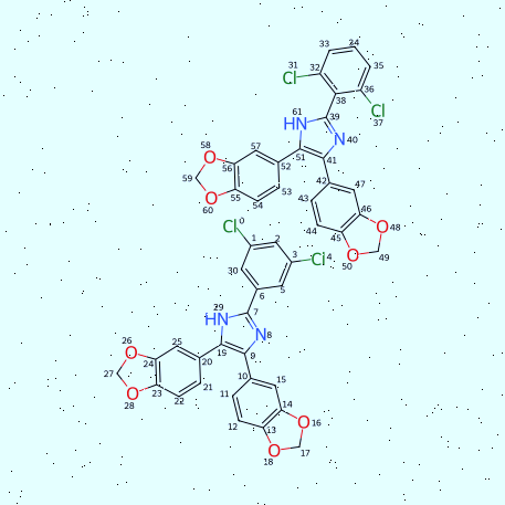 Clc1cc(Cl)cc(-c2nc(-c3ccc4c(c3)OCO4)c(-c3ccc4c(c3)OCO4)[nH]2)c1.Clc1cccc(Cl)c1-c1nc(-c2ccc3c(c2)OCO3)c(-c2ccc3c(c2)OCO3)[nH]1